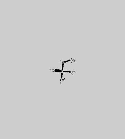 O=P(O)(O)[S][Ag]